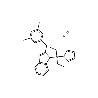 C[CH2][Zr]([CH2]C)([CH]1C=CC=C1)[CH]1C(Cc2cc(C)cc(C)c2)=Cc2ccccc21.[Cl-].[Cl-]